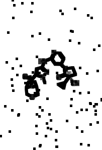 Cn1nc(Nc2cc(N3CC[C@@](C#N)(C4CC4)C3=O)ccn2)cc1C(=O)N1C2CCC1COC2